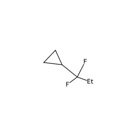 CCC(F)(F)C1CC1